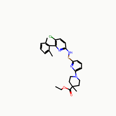 CCOC(=O)C1(C)CCN(c2cccc(SNc3ccc(Cl)c(-c4c(C)cccc4C)n3)n2)CC1